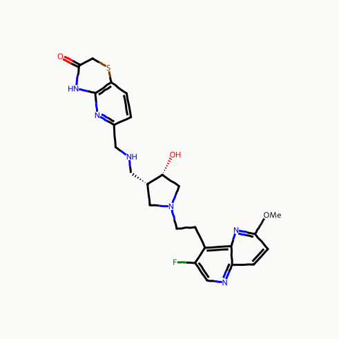 COc1ccc2ncc(F)c(CCN3C[C@H](CNCc4ccc5c(n4)NC(=O)CS5)[C@H](O)C3)c2n1